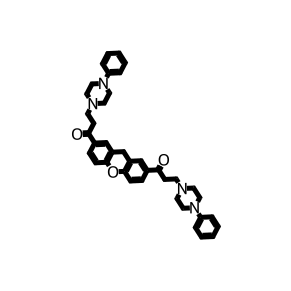 O=C(CCN1CCN(c2ccccc2)CC1)c1ccc2c(c1)Cc1cc(C(=O)CCN3CCN(c4ccccc4)CC3)ccc1O2